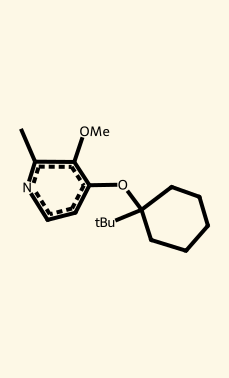 COc1c(OC2(C(C)(C)C)CCCCC2)ccnc1C